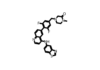 CN1CCN(Cc2cc(F)c(-c3ccc4nccc(Nc5ccc6scnc6c5)c4c3)c(F)c2)CC1=O